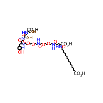 O=C(O)CCCCCCCCCCCCCCCCC(=O)N[C@@H](CCC(=O)NCCOCCOCC(=O)NCCOCCOCC(=O)N[C@@H](Cc1ccc(O)cc1)C(=O)CN[C@@H](CS)C(=O)CN[C@@H](CS)C(=O)O)C(=O)O